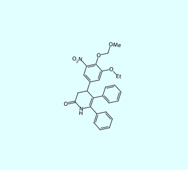 CCOc1cc(C2CC(=O)NC(c3ccccc3)=C2c2ccccc2)cc([N+](=O)[O-])c1OCOC